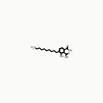 CCCCCCCCCCc1ccc(C(=O)O)c(C(=O)O)c1O